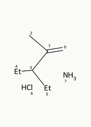 C=C(C)C(CC)CC.Cl.N